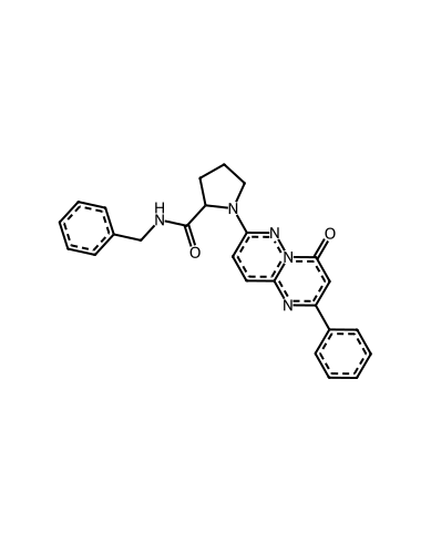 O=C(NCc1ccccc1)C1CCCN1c1ccc2nc(-c3ccccc3)cc(=O)n2n1